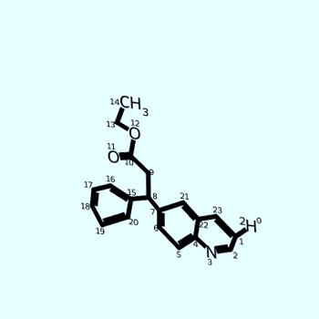 [2H]c1cnc2ccc(C(CC(=O)OCC)c3ccccc3)cc2c1